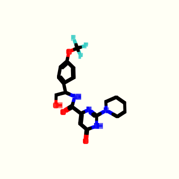 O=C(NC(CO)c1ccc(OC(F)(F)F)cc1)c1cc(=O)[nH]c(N2CCCCC2)n1